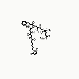 CNC(=O)CCC(C)(C)SCNC(=O)CNC(=O)C(Cc1ccccc1)NC(=O)CNC(=O)CNC(=O)CCCCCN1C(=O)C=CC1=O